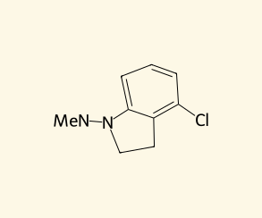 CNN1CCc2c(Cl)cccc21